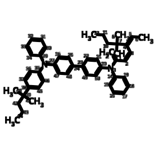 C=C(/C=C\C(=C/C)C(C)(C)CCC)N(c1ccccc1)c1ccc(-c2ccc(N(c3ccccc3)c3ccc(C(C)(C)CCC)cc3)cc2)cc1